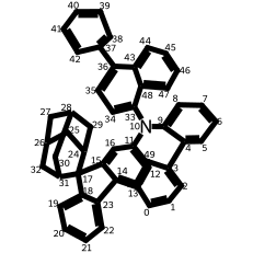 c1ccc(-c2ccccc2N(c2ccc3c(c2)C2(c4ccccc4-3)C3CC4CC(C3)CC2C4)c2ccc(-c3ccccc3)c3ccccc23)cc1